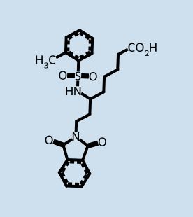 Cc1ccccc1S(=O)(=O)NC(CCCCC(=O)O)CCN1C(=O)c2ccccc2C1=O